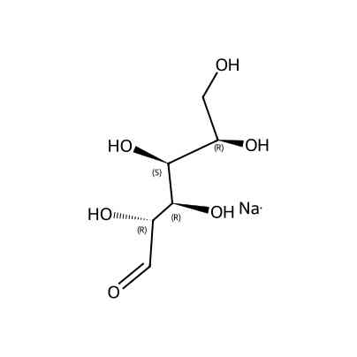 O=C[C@H](O)[C@H](O)[C@@H](O)[C@H](O)CO.[Na]